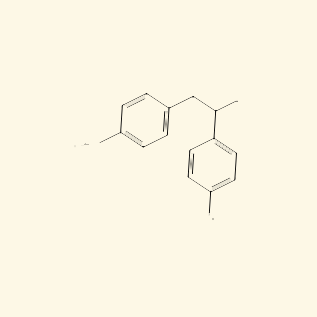 CCCCCCCc1ccc(CC(CC)c2ccc(O)cc2)cc1